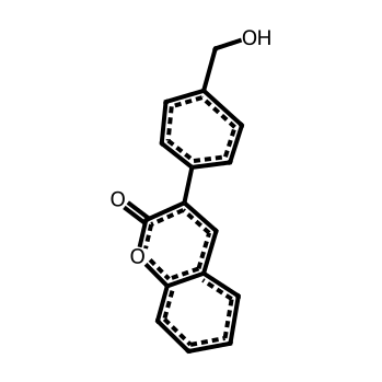 O=c1oc2ccccc2cc1-c1ccc(CO)cc1